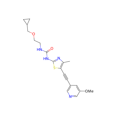 COc1cncc(C#Cc2sc(NC(=O)NCCOCC3CC3)nc2C)c1